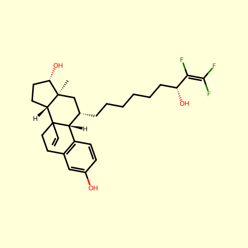 C=CC12CCc3cc(O)ccc3[C@H]1[C@@H](CCCCCC[C@@H](O)C(F)=C(F)F)C[C@]1(C)[C@@H](O)CC[C@@H]21